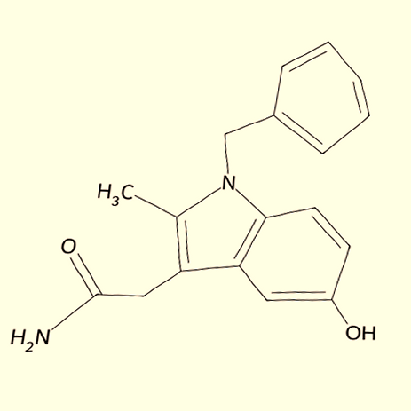 Cc1c(CC(N)=O)c2cc(O)ccc2n1Cc1ccccc1